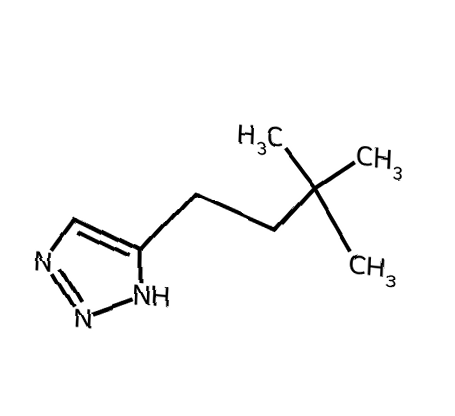 CC(C)(C)CCc1cnn[nH]1